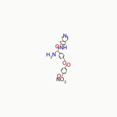 NCC(C(=O)Nc1cc2ccncc2s1)c1ccc(COC(=O)c2ccc(CO[N+](=O)[O-])cc2)cc1